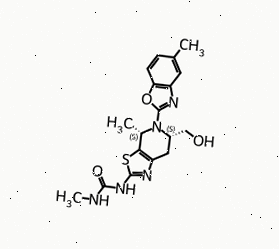 CNC(=O)Nc1nc2c(s1)[C@H](C)N(c1nc3cc(C)ccc3o1)[C@H](CO)C2